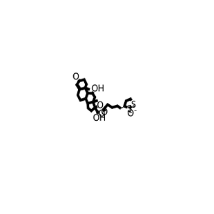 CC12CCC(=O)C=C1CCC1C2C(O)CC2(C)C1CCC2(OC(=O)CCCC[C@@H]1CCS[S+]1[O-])C(=O)O